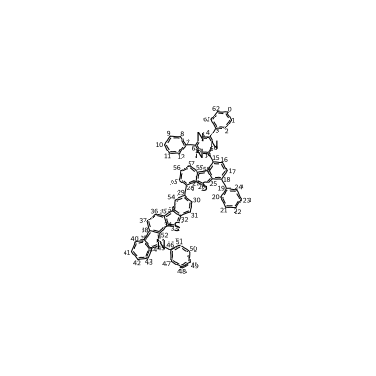 c1ccc(-c2nc(-c3ccccc3)nc(-c3ccc(-c4ccccc4)c4sc5c(-c6ccc7sc8c(ccc9c%10ccccc%10n(-c%10ccccc%10)c98)c7c6)cccc5c34)n2)cc1